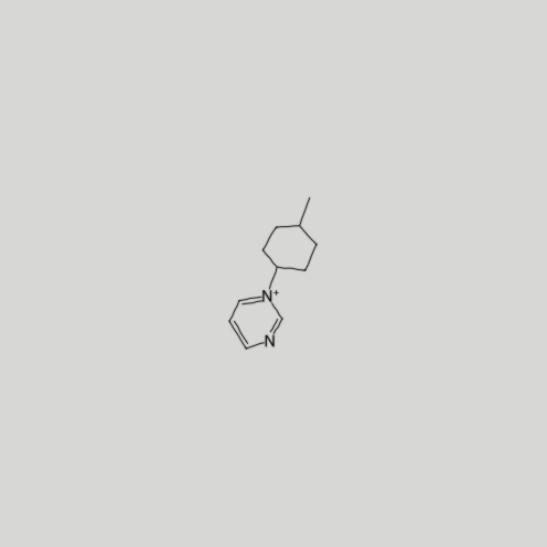 CC1CCC([n+]2cccnc2)CC1